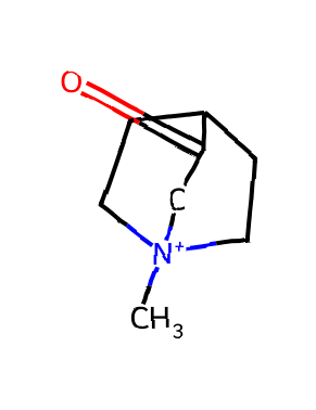 C[N+]12CCC(CC1)C(=O)C2